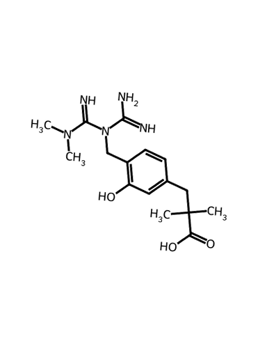 CN(C)C(=N)N(Cc1ccc(CC(C)(C)C(=O)O)cc1O)C(=N)N